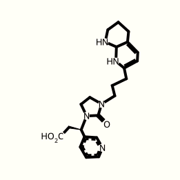 O=C(O)C[C@H](c1cccnc1)N1CCN(CCCC2=CC=C3CCCNC3N2)C1=O